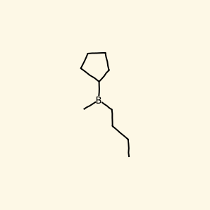 CCCCB(C)C1CCCC1